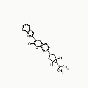 CN(C)[C@H]1[C@@H]2CC(c3ccc4cc(-c5cn6cccnc6n5)c(=O)oc4c3)C[C@@H]21